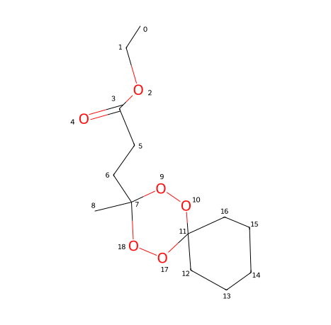 CCOC(=O)CCC1(C)OOC2(CCCCC2)OO1